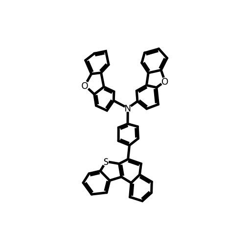 c1ccc2c(c1)cc(-c1ccc(N(c3ccc4oc5ccccc5c4c3)c3ccc4oc5ccccc5c4c3)cc1)c1sc3ccccc3c12